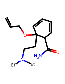 C=CCOC1(CCN(CC)CC)C=CC=CC1C(N)=O